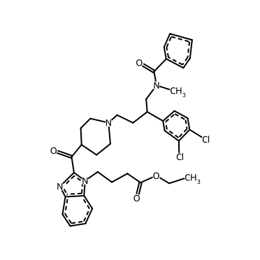 CCOC(=O)CCCn1c(C(=O)C2CCN(CCC(CN(C)C(=O)c3ccccc3)c3ccc(Cl)c(Cl)c3)CC2)nc2ccccc21